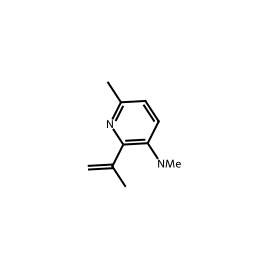 C=C(C)c1nc(C)ccc1NC